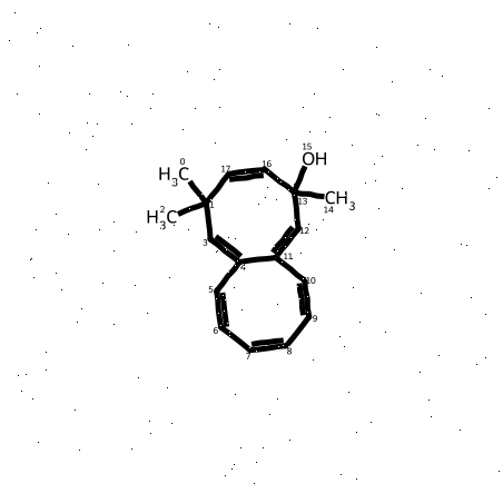 CC1(C)C=C2\C=C/C=C\C=C/C2=C/C(C)(O)/C=C\1